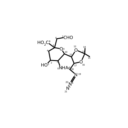 CC(=O)NC1C(O)CC(CC=O)(C(=O)O)OC1C1OC(C)(C)OC1CN=[N+]=[N-]